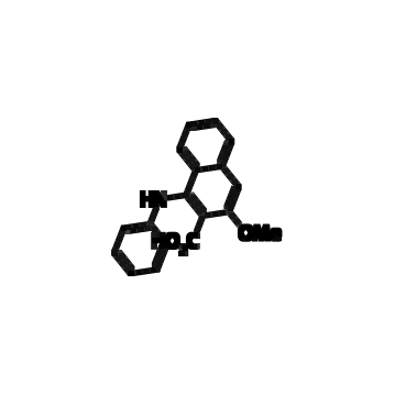 COc1cc2ccccc2c(Nc2ccccc2)c1C(=O)O